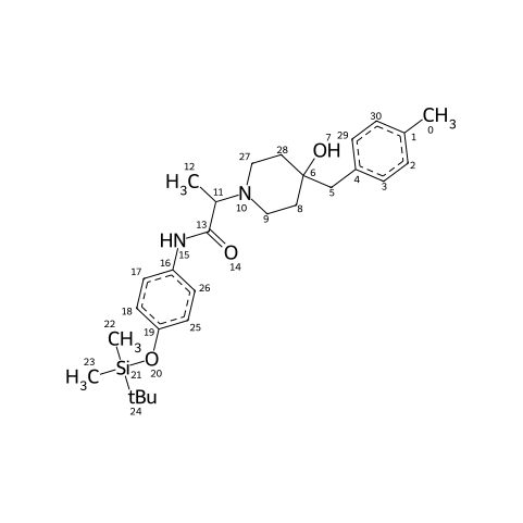 Cc1ccc(CC2(O)CCN(C(C)C(=O)Nc3ccc(O[Si](C)(C)C(C)(C)C)cc3)CC2)cc1